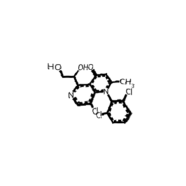 Cc1cc(=O)c2c(C(O)CO)ncc(Cl)c2n1-c1c(Cl)cccc1Cl